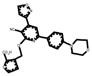 N#Cc1c(-c2ccon2)cc(-c2ccc(N3CCOCC3)cc2)nc1OCc1ccsc1C(=O)O